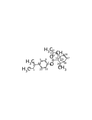 CCC(C)c1ccc(OC(OC(C)C)C2C3C=CC(C3)C2C)cc1